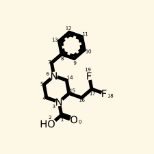 O=C(O)N1CCN(Cc2ccccc2)CC1CC(F)F